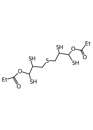 CCC(=O)OC(S)C(S)CSCC(S)C(S)OC(=O)CC